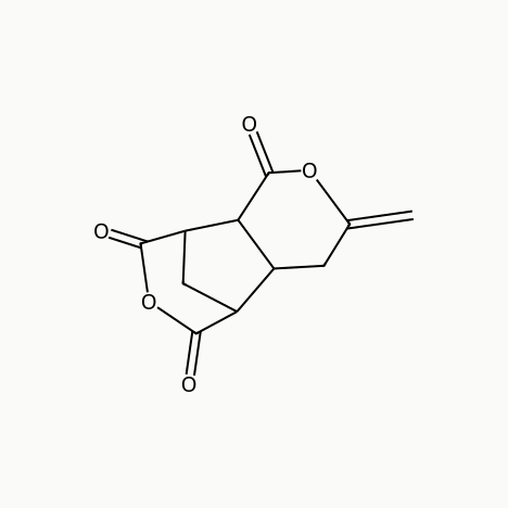 C=C1CC2C3CC(C(=O)OC3=O)C2C(=O)O1